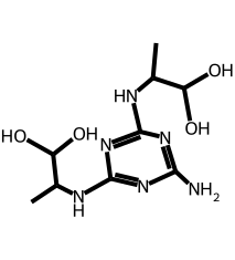 CC(Nc1nc(N)nc(NC(C)C(O)O)n1)C(O)O